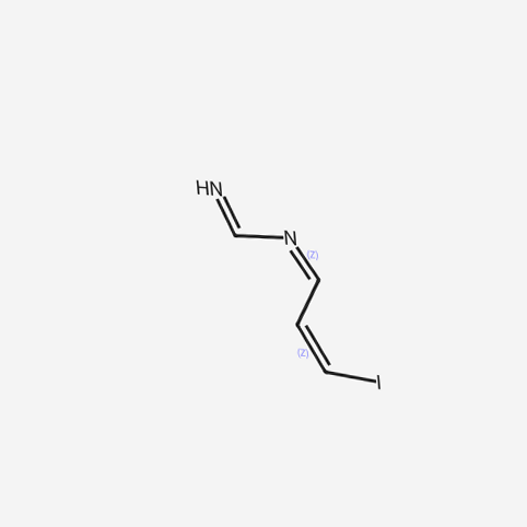 N=C/N=C\C=C/I